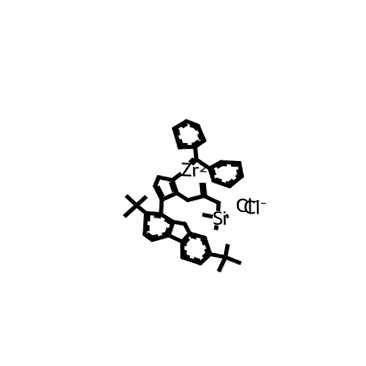 C=C(CC1=[C]([Zr+2]=[C](c2ccccc2)c2ccccc2)CC=C1c1c(C(C)(C)C)ccc2c1Cc1cc(C(C)(C)C)ccc1-2)C[Si](C)(C)C.[Cl-].[Cl-]